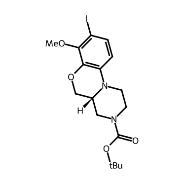 COc1c(I)ccc2c1OC[C@H]1CN(C(=O)OC(C)(C)C)CCN21